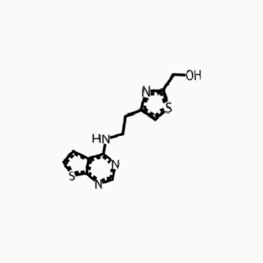 OCc1nc(CCNc2ncnc3sccc23)cs1